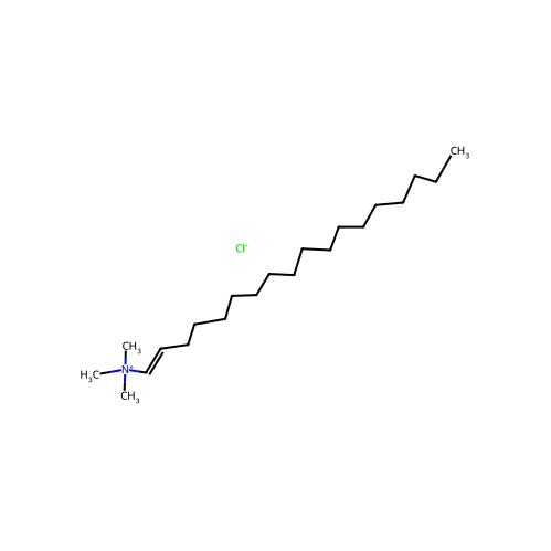 CCCCCCCCCCCCCCCCC=C[N+](C)(C)C.[Cl-]